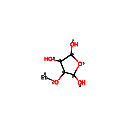 CCOC1C(O)OC(O)C1O